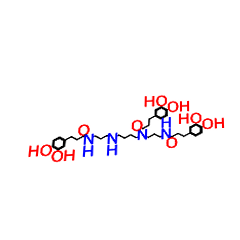 O=C(CCc1ccc(O)c(O)c1)NCCCNCCCCN(CCCNC(=O)CCc1ccc(O)c(O)c1)C(=O)CCc1ccc(O)c(O)c1